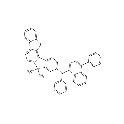 C[Si]1(C)c2cc(N(c3ccccc3)c3ccc(-c4ccccc4)c4ccccc34)ccc2-c2c1ccc1c2sc2ccccc21